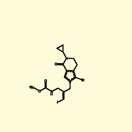 CC(C)(C)OC(=O)NC/C(=C\F)Cn1cc2c(c1Br)CCN(C1CC1)C2=O